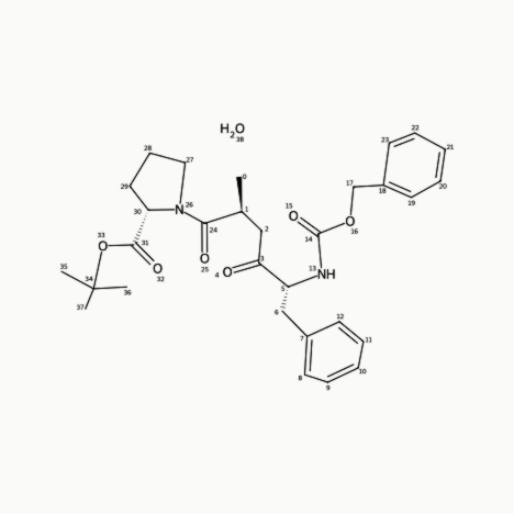 C[C@@H](CC(=O)[C@@H](Cc1ccccc1)NC(=O)OCc1ccccc1)C(=O)N1CCC[C@H]1C(=O)OC(C)(C)C.O